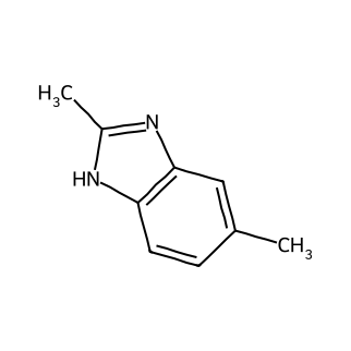 Cc1ccc2[nH]c(C)nc2c1